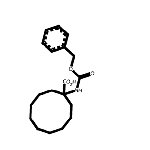 O=C(NC1(C(=O)O)CCCCCCCCC1)OCc1ccccc1